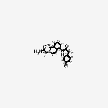 C[C@H](C(N)=O)n1ccc2c(NC(=O)[C@H](C)c3ccc(Cl)cc3)cccc2c1=O